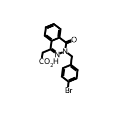 O=C(O)Cc1nn(Cc2ccc(Br)cc2)c(=O)c2ccccc12